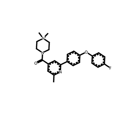 Cc1cc(C(=O)N2CC[N+](C)(C)CC2)cc(-c2ccc(Oc3ccc(F)cc3)cc2)n1